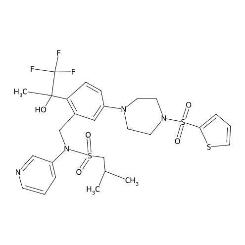 CC(C)CS(=O)(=O)N(Cc1cc(N2CCN(S(=O)(=O)c3cccs3)CC2)ccc1C(C)(O)C(F)(F)F)c1cccnc1